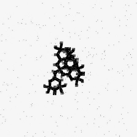 CC1(C)CC(O[Si](OC2CC(C)(C)NC(C)(C)C2)(OC2CC(C)(C)NC(C)(C)C2)c2ccccc2)CC(C)(C)N1